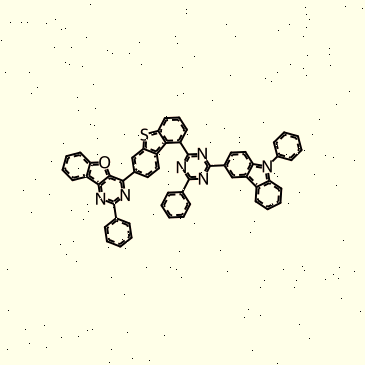 c1ccc(-c2nc(-c3ccc4c(c3)c3ccccc3n4-c3ccccc3)nc(-c3cccc4sc5cc(-c6nc(-c7ccccc7)nc7c6oc6ccccc67)ccc5c34)n2)cc1